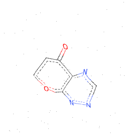 O=c1ccoc2nncnc12